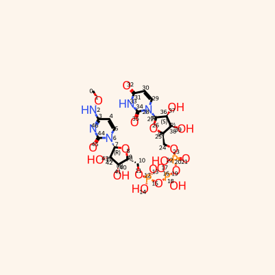 CONc1ccn([C@@H]2O[C@H](COP(=O)(O)OP(=O)(O)OP(=O)(O)OC[C@H]3O[C@@H](n4ccc(=O)[nH]c4=O)[C@@H](O)[C@H]3O)[C@H](O)[C@@H]2O)c(=O)n1